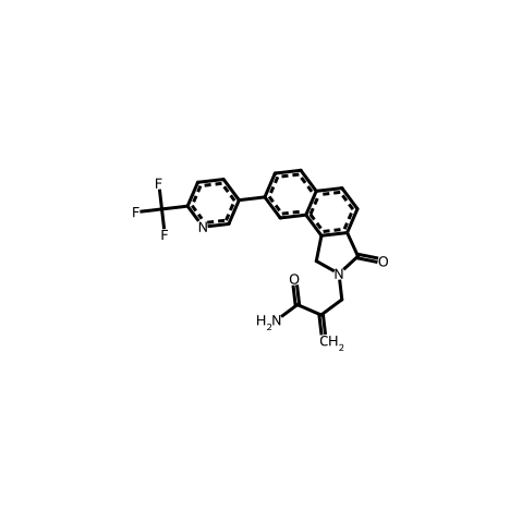 C=C(CN1Cc2c(ccc3ccc(-c4ccc(C(F)(F)F)nc4)cc23)C1=O)C(N)=O